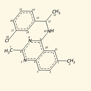 Cc1ccc2nc(C)nc(NC(C)c3cccc(Cl)c3)c2c1